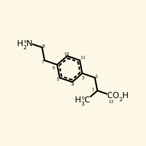 CC(Cc1ccc(CCN)cc1)C(=O)O